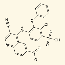 N#Cc1cnc2ccc([N+](=O)[O-])cc2c1Nc1ccc(S(=O)(=O)O)c(Cl)c1Oc1ccccc1